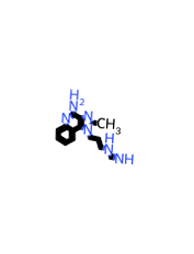 Cc1nc2c(N)nc3ccccc3c2n1CCCNC=N